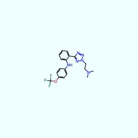 CN(C)CCn1nnc(-c2ccccc2Nc2ccc(OC(F)(F)F)cc2)n1